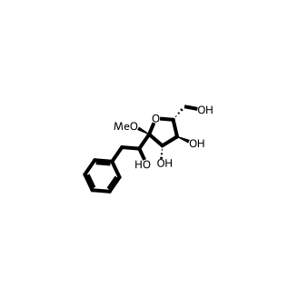 CO[C@@]1(C(O)Cc2ccccc2)O[C@H](CO)[C@@H](O)[C@@H]1O